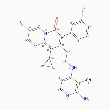 N#Cc1c(N)ncnc1NCCc1c(-c2cccc(F)c2)c(=O)n2cc(F)ccc2c1C1CC1